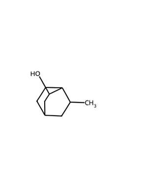 CC1CC2CCC1C(O)C2